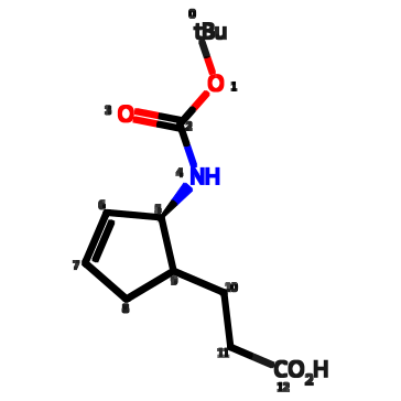 CC(C)(C)OC(=O)N[C@@H]1C=CCC1CCC(=O)O